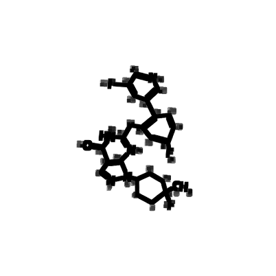 CC1(F)CCC(n2ncc3c(=O)[nH]c(Cc4cc(F)ccc4-c4cncc(F)c4)nc32)CC1